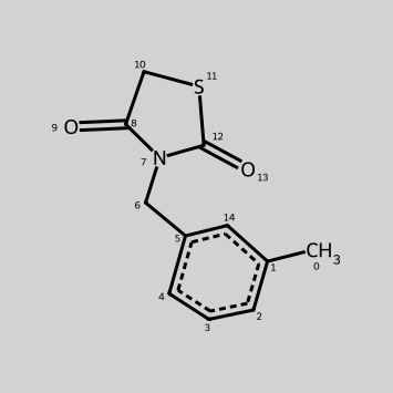 Cc1cccc(CN2C(=O)CSC2=O)c1